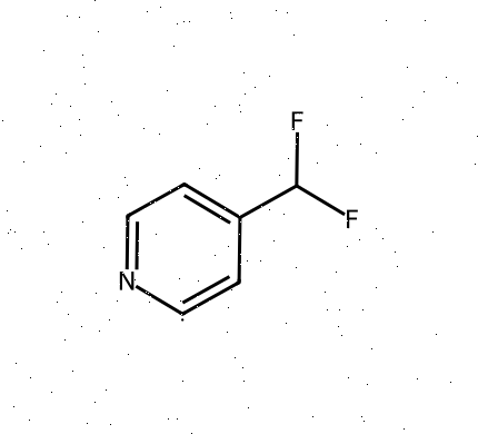 FC(F)c1c[c]ncc1